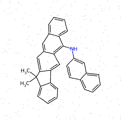 CC1(C)c2ccccc2-c2cc3c(Nc4ccc5ccccc5c4)c4ccccc4cc3cc21